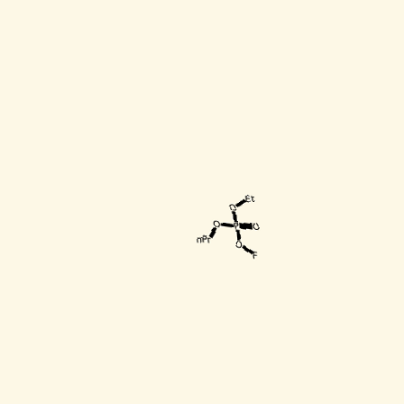 CCCOP(=O)(OF)OCC